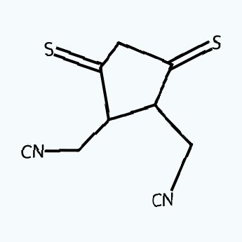 [C-]#[N+]CC1C(=S)CC(=S)C1C[N+]#[C-]